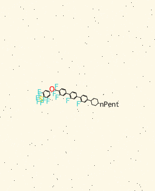 CCCCCC1CCC(c2ccc(-c3ccc(-c4ccc(C(F)(F)Oc5cc(F)c(S(F)(F)(F)(F)F)c(F)c5)c(F)c4)c(F)c3)c(F)c2)CC1